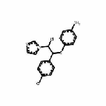 Nc1ccc(SC(c2ccc(Cl)cc2)C(Cl)n2ccnc2)cc1